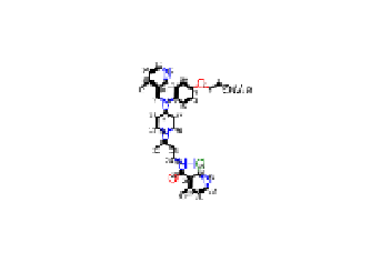 COCCOc1ccc(N(Cc2cnccc2C)C2CCN([C@H](C)CCNC(=O)c3c(C)ccnc3Cl)CC2)cc1